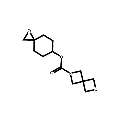 O=C(OC1CCC2(CC1)CO2)N1CC2(COC2)C1